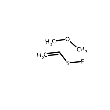 C=CSF.COC